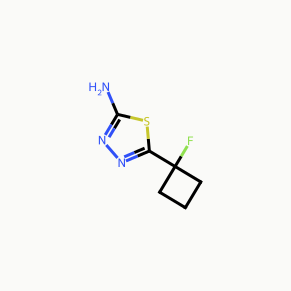 Nc1nnc(C2(F)CCC2)s1